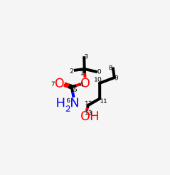 CC(C)(C)OC(N)=O.CCCCCO